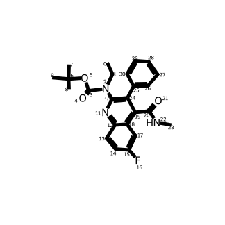 CCN(C(=O)OC(C)(C)C)c1nc2ccc(F)cc2c(C(=O)NC)c1-c1ccccc1